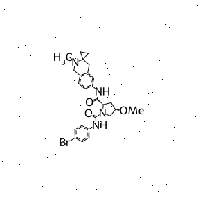 CO[C@@H]1C[C@H](C(=O)Nc2ccc3c(c2)CC2(CC2)N(C)C3)N(C(=O)Nc2ccc(Br)cc2)C1